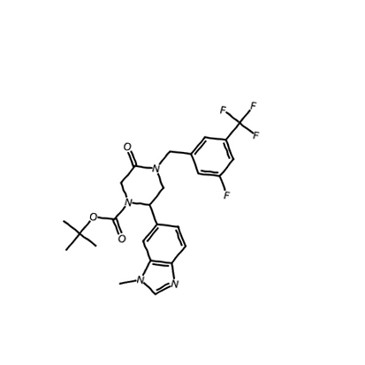 Cn1cnc2ccc(C3CN(Cc4cc(F)cc(C(F)(F)F)c4)C(=O)CN3C(=O)OC(C)(C)C)cc21